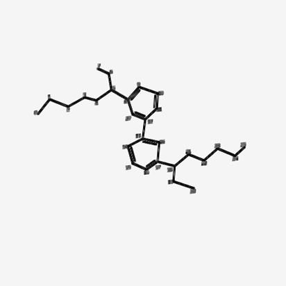 CCCCCC(CC)c1cc[c]c(-c2[c]ccc(C(CC)CCCCC)c2)c1